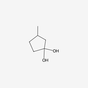 CC1CCC(O)(O)C1